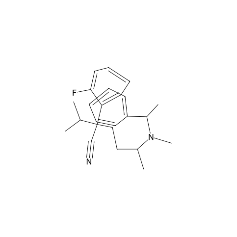 CC(CCC(C#N)(c1ccccc1F)C(C)C)N(C)C(C)c1ccccc1